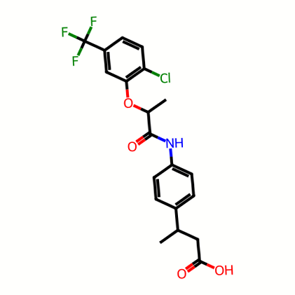 CC(Oc1cc(C(F)(F)F)ccc1Cl)C(=O)Nc1ccc(C(C)CC(=O)O)cc1